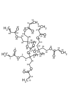 C=CC(=O)OCCC(CCC)(CCOC(=O)C=C)OP(=O)(OC(CCC)(CCOC(=O)C=C)CCOC(=O)C=C)OC(CCC)(CCOC(=O)C=C)CCOC(=O)C=C